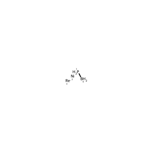 BP.[Ni].[Re]